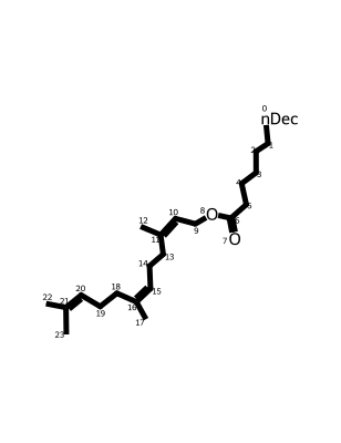 CCCCCCCCCCCCCCCC(=O)OCC=C(C)CCC=C(C)CCC=C(C)C